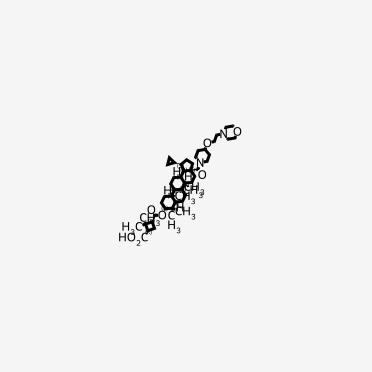 CC1(C)[C@@H](C(=O)O[C@H]2CC[C@]3(C)[C@H]4CC[C@@H]5[C@H]6[C@H](C7CC7)CC[C@]6(C(=O)N6CCC(OCCN7CCOCC7)CC6)CC[C@@]5(C)[C@]4(C)CC[C@H]3C2(C)C)C[C@H]1C(=O)O